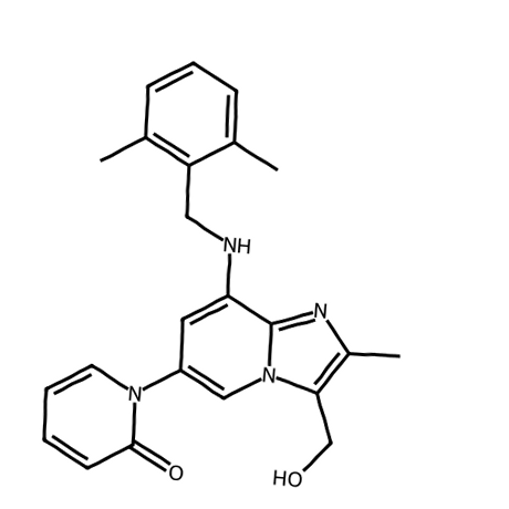 Cc1cccc(C)c1CNc1cc(-n2ccccc2=O)cn2c(CO)c(C)nc12